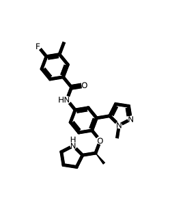 Cc1cc(C(=O)Nc2ccc(O[C@@H](C)C3CCCN3)c(-c3ccnn3C)c2)ccc1F